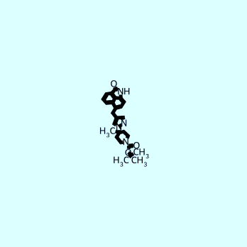 CC(C)(C)OC(=O)N1CCC(C)(n2cc(Cc3ccc4c5c(cccc35)C(=O)N4)cn2)CC1